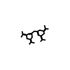 CC(C)=C1C=C(CC2=CC(=C(C)C)CC(=C(C)C)C2)CC(=C(C)C)C1